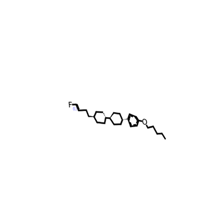 CCCCCOc1ccc([C@H]2CC[C@H]([C@H]3CC[C@H](CC/C=C/F)CC3)CC2)cc1